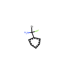 CCC(N)(F)c1ccccc1